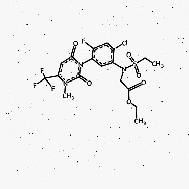 CCOC(=O)CN(c1cc(-n2c(=O)cc(C(F)(F)F)n(C)c2=O)c(F)cc1Cl)S(=O)(=O)CC